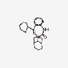 O=C1Nc2ccccc2C(C2CCCCC2)=NN1C1C2CCCC1CCC2